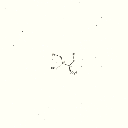 CC(C)O[C@@H](C(=O)O)[C@@H](OC(C)C)C(=O)O